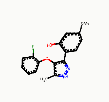 COc1ccc(-c2n[nH]c(C)c2Oc2ccccc2F)c(O)c1